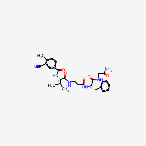 Cc1ccc(C(=O)N[C@H](C(=O)NCCC(=O)N[C@@H](Cc2ccccc2)C(=O)NCC(N)=O)C(C)C)cc1C#N